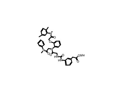 COC(=O)Cc1cccc(NC(=O)NCC(=O)N(CC(=O)N(C)c2ccccc2)c2ccccc2OCC(=O)N(C)c2cc(C)ccc2C)c1